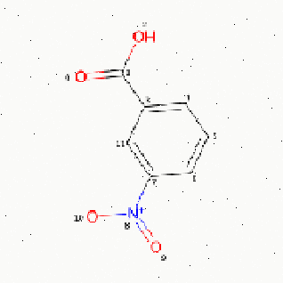 O=C(O)c1cc[c]c([N+](=O)[O-])c1